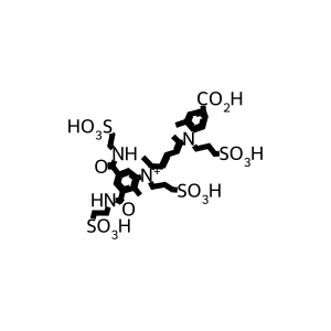 C\C(=C/C=C/C(C)=[N+](\CCCS(=O)(=O)O)c1cc(C(=O)NCCS(=O)(=O)O)cc(C(=O)NCCS(=O)(=O)O)c1C)N(CCCS(=O)(=O)O)c1ccc(C(=O)O)cc1C